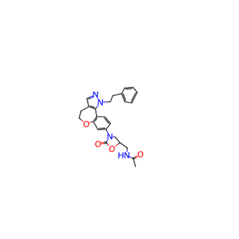 CC(=O)NCC1CN(c2ccc3c(c2)OCCc2cnn(CCc4ccccc4)c2-3)C(=O)O1